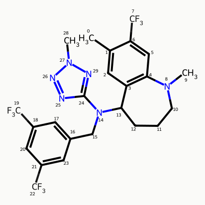 Cc1cc2c(cc1C(F)(F)F)N(C)CCCC2N(Cc1cc(C(F)(F)F)cc(C(F)(F)F)c1)c1nnn(C)n1